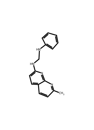 Cc1ccc2ccc(NCNc3ccccc3)nc2n1